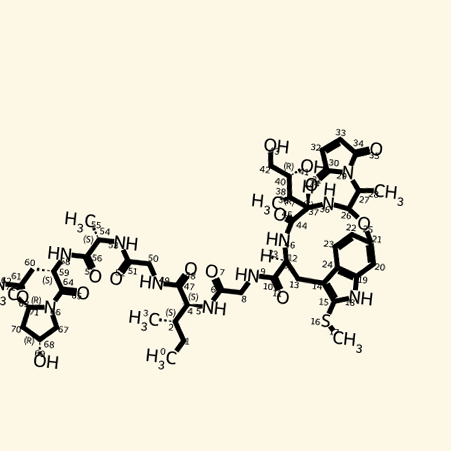 CC[C@H](C)[C@H](NC(=O)CNC(=O)[C@@H]1Cc2c(SC)[nH]c3cc(ccc23)OC(C(C)N2C(=O)C=CC2=O)N[C@@H]([C@@H](C)[C@@H](O)CO)C(=O)N1)C(=O)NCC(=O)N[C@@H](C)C(=O)N[C@@H](CC(N)=O)C(=O)N1C[C@H](O)C[C@H]1C